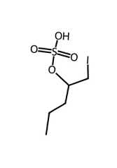 CCCC(CI)OS(=O)(=O)O